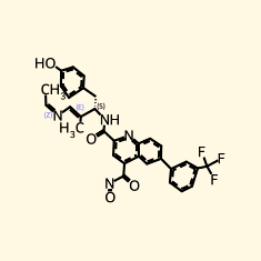 C/C=N\C=C(/C)[C@H](Cc1ccc(O)cc1)NC(=O)c1cc(C(=O)N=O)c2cc(-c3cccc(C(F)(F)F)c3)ccc2n1